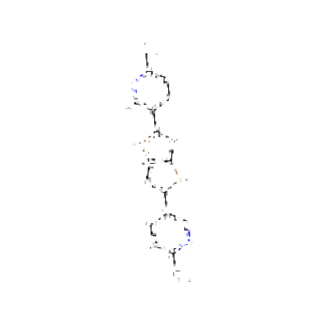 Cc1ccc(-c2cc3sc(-c4ccc(C)nc4)cc3s2)cn1